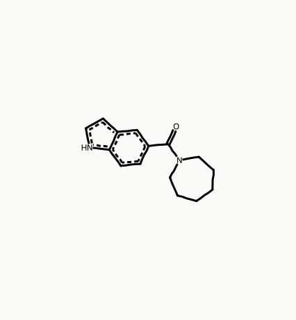 O=C(c1ccc2[nH]ccc2c1)N1CCCCCC1